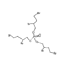 O=P(OCC(Br)CCBr)(OCC(Br)CCBr)OCC(Br)CCBr